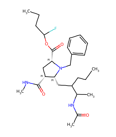 CCCC(F)OC(=O)[C@H]1C[C@@H](C(=O)NC)[C@@H](CC(CCC)C(C)NC(C)=O)N1Cc1ccccc1